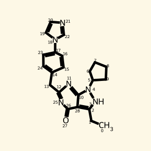 CCc1[nH]n(C2CCCC2)c2nc(Cc3ccc(-n4ccnc4)cc3)nc(=O)c1-2